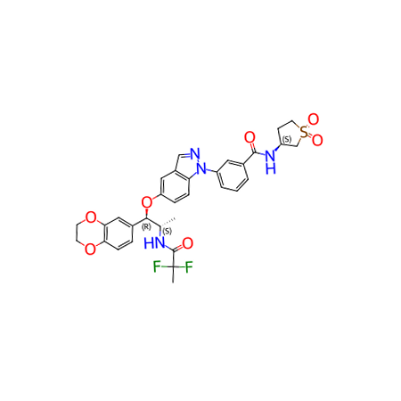 C[C@H](NC(=O)C(C)(F)F)[C@H](Oc1ccc2c(cnn2-c2cccc(C(=O)N[C@H]3CCS(=O)(=O)C3)c2)c1)c1ccc2c(c1)OCCO2